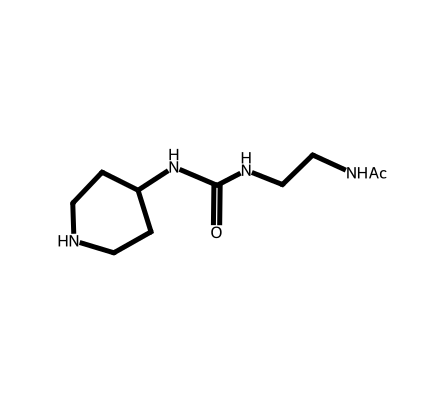 CC(=O)NCCNC(=O)NC1CCNCC1